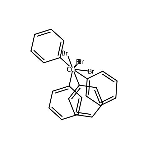 [Br][Cu]([Br])([Br])([Br])([c]1ccccc1)([c]1ccccc1)([c]1ccccc1)[c]1ccccc1